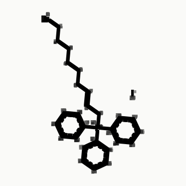 BrCCCCCCC=CC[P+](c1ccccc1)(c1ccccc1)c1ccccc1.[I-]